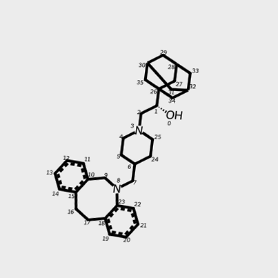 O[C@H](CN1CCC(CN2Cc3ccccc3CCc3ccccc32)CC1)C12CC3CC(CC(C3)C1)C2